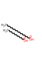 CCCCCCCCCCCCCC(=O)O.CCCCCCCCCCCCCCCCCCCC(=O)O